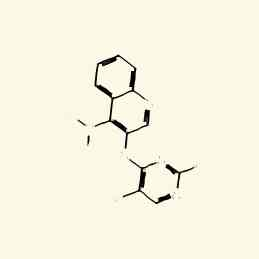 CP(C)c1c(Nc2nc(Cl)ncc2Br)cnc2ccccc12